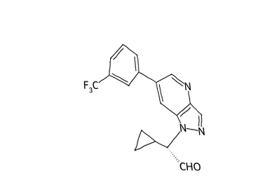 O=C[C@H](C1CC1)n1ncc2ncc(-c3cccc(C(F)(F)F)c3)cc21